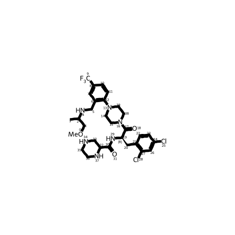 COCC(C)NCc1cc(C(F)(F)F)ccc1N1CCN(C(=O)[C@@H](Cc2ccc(Cl)cc2Cl)NC(=O)C2CNCCN2)CC1